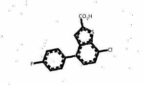 O=C(O)c1cc2c(-c3ccc(F)cc3)ccc(Cl)c2s1